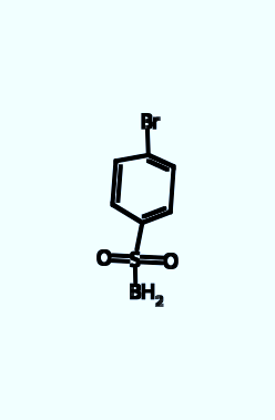 BS(=O)(=O)c1ccc(Br)cc1